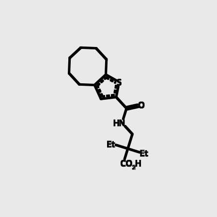 CCC(CC)(CNC(=O)c1cc2c(s1)CCCCCC2)C(=O)O